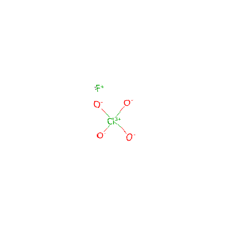 [F+].[O-][Cl+3]([O-])([O-])[O-]